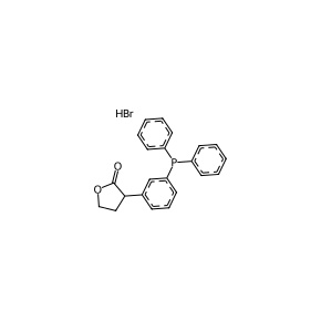 Br.O=C1OCCC1c1cccc(P(c2ccccc2)c2ccccc2)c1